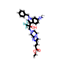 [C-]#[N+]c1ccc2c(C(O)(CN3CCn4cc(C=CC(=O)OCC)nc4C3)C(F)(F)F)cn(Cc3ccccc3)c2c1